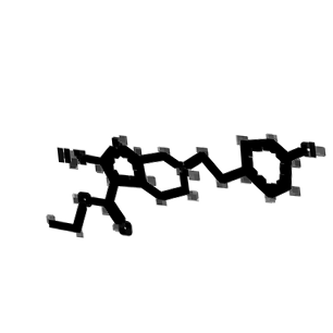 CCOC(=O)c1c(N)sc2c1CCN(CCc1ccc(Cl)cc1)C2